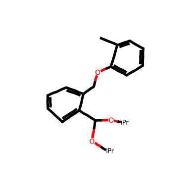 Cc1ccccc1OCc1ccccc1C(OC(C)C)OC(C)C